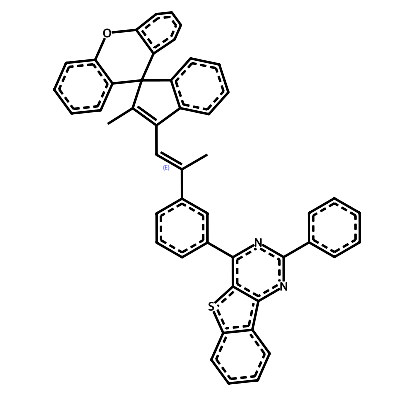 CC1=C(/C=C(\C)c2cccc(-c3nc(-c4ccccc4)nc4c3sc3ccccc34)c2)c2ccccc2C12c1ccccc1Oc1ccccc12